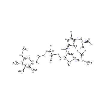 CCC(C)C(/C=c1\[nH]/c(=C(/C)C2=N/C(=C\C(NC)=C(C)C)[C@@H](C)[C@@H]2CCC(=O)N(C)CCCS[C@H]2O[C@H](COC(C)=O)[C@@H](OC(C)=O)[C@H](OC(C)=O)[C@@H]2OC(C)=O)cc1C)=N\C